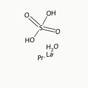 O.O=S(=O)(O)O.[La].[Pr]